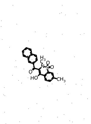 Cc1ccc2c(c1)S(=O)(=O)N(C)C(C(=O)c1ccc3ccccc3c1)=C2O